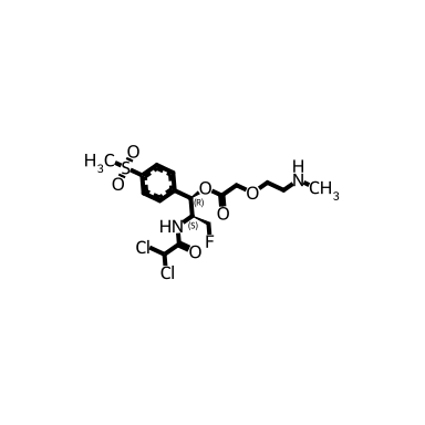 CNCCOCC(=O)O[C@H](c1ccc(S(C)(=O)=O)cc1)[C@@H](CF)NC(=O)C(Cl)Cl